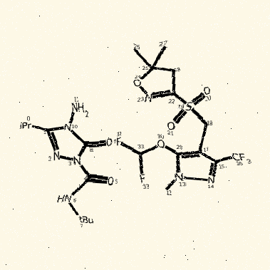 CC(C)c1nn(C(=O)NC(C)(C)C)c(=O)n1N.Cn1nc(C(F)(F)F)c(CS(=O)(=O)C2=NOC(C)(C)C2)c1OC(F)F